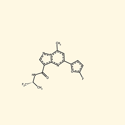 Cc1cc(-c2ccc(F)o2)nc2c(C(=O)N[C@H](C)C(F)(F)F)cnn12